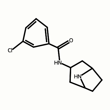 O=C(NC1CC2CCC(C1)N2)c1cccc(Cl)c1